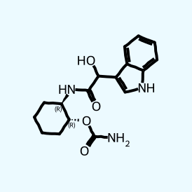 NC(=O)O[C@@H]1CCCC[C@H]1NC(=O)C(O)c1c[nH]c2ccccc12